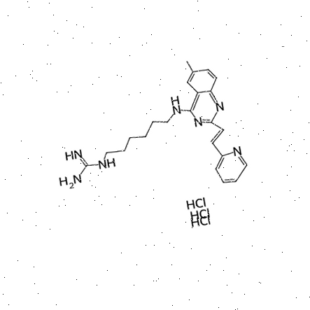 Cc1ccc2nc(C=Cc3ccccn3)nc(NCCCCCCNC(=N)N)c2c1.Cl.Cl.Cl